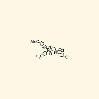 COc1ccc(CNc2nc3c(c(=O)n2-c2ccc(C)cc2)CN(C(=O)Nc2ccc(Cl)cc2Cl)CC3)cc1